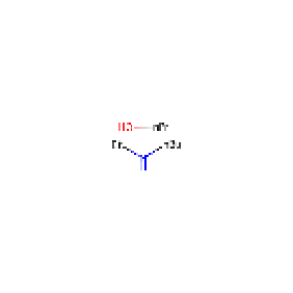 CCCCNCC.CCCO